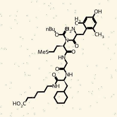 CCCCOC(=O)N(C(=O)[C@@H](N)Cc1c(C)cc(O)cc1C)[C@H](CCSC)C(=O)NCC(=O)N[C@@H](CC1CCCCC1)C(=O)NCCCCCC(=O)O